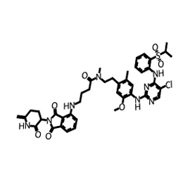 C=C1CCC(N2C(=O)c3cccc(NCCCC(=O)N(C)CCc4cc(OC)c(Nc5ncc(Cl)c(Nc6ccccc6S(=O)(=O)C(C)C)n5)cc4C)c3C2=O)C(=O)N1